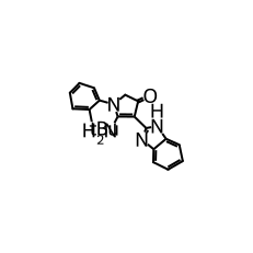 CC(C)(C)c1ccccc1N1CC(=O)C(c2nc3ccccc3[nH]2)=C1N